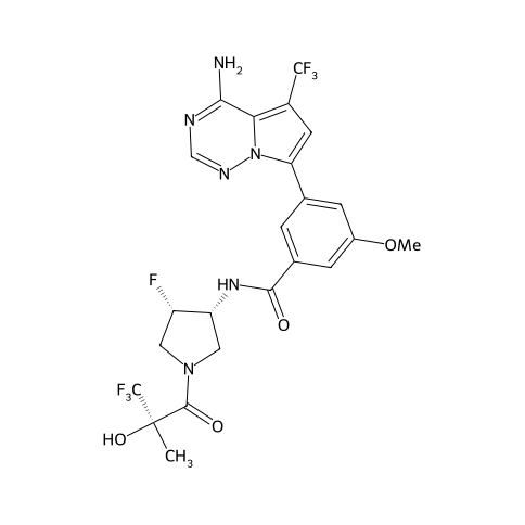 COc1cc(C(=O)N[C@@H]2CN(C(=O)[C@@](C)(O)C(F)(F)F)C[C@@H]2F)cc(-c2cc(C(F)(F)F)c3c(N)ncnn23)c1